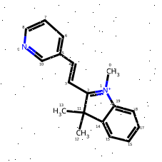 C[N+]1=C(C=Cc2cccnc2)C(C)(C)c2ccccc21